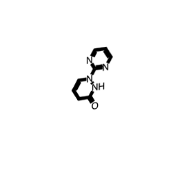 O=C1CC=CN(c2ncccn2)N1